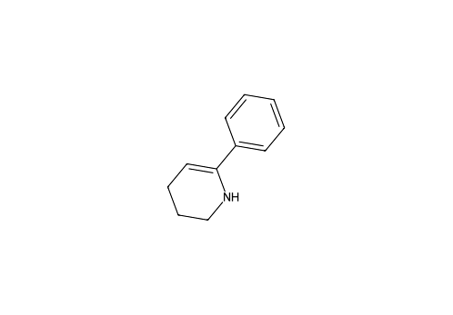 C1=C(c2ccccc2)NCCC1